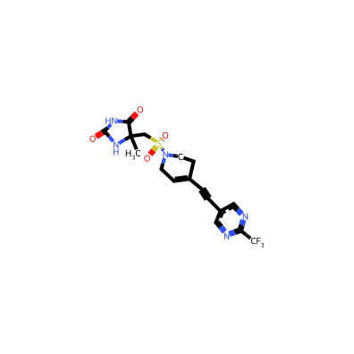 CC1(CS(=O)(=O)N2CC=C(C#Cc3cnc(C(F)(F)F)nc3)CC2)NC(=O)NC1=O